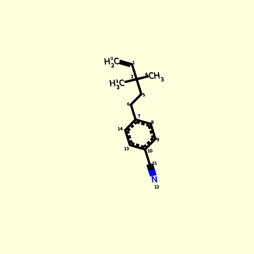 C=CC(C)(C)CCc1ccc(C#N)cc1